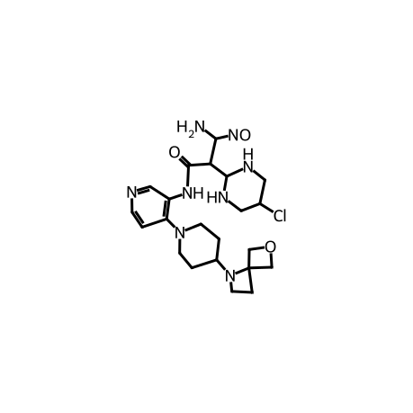 NC(N=O)C(C(=O)Nc1cnccc1N1CCC(N2CCC23COC3)CC1)C1NCC(Cl)CN1